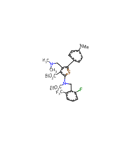 CCOC(=O)c1c(N(Cc2c(F)cccc2C(F)(F)F)C(=O)OCC)sc(-c2ccc(NC)cc2)c1CN(C)C